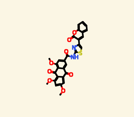 COc1cc(OC)c2c(c1)C(=O)c1cc(C(=O)Nc3nc(-c4cc5ccccc5oc4=O)cs3)cc(OC)c1C2=O